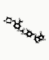 CN1CCN(Cc2ccc(NC(=O)Nc3ccc(Oc4ccnc5[nH]cc(Cl)c45)cc3F)cc2C(F)F)CC1